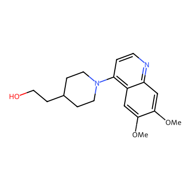 COc1cc2nccc(N3CCC(CCO)CC3)c2cc1OC